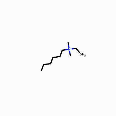 CCCCCC[N+](C)(C)C[SiH3]